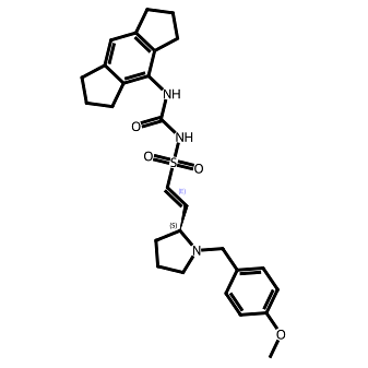 COc1ccc(CN2CCC[C@H]2/C=C/S(=O)(=O)NC(=O)Nc2c3c(cc4c2CCC4)CCC3)cc1